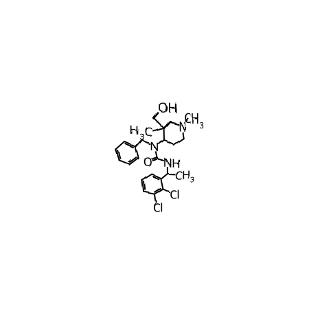 CC(NC(=O)N(Cc1ccccc1)C1CCN(C)CC1(C)CO)c1cccc(Cl)c1Cl